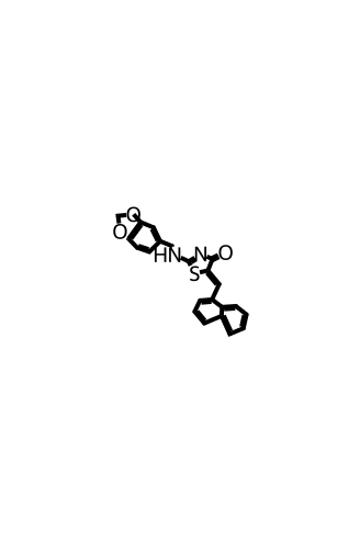 O=C1N=C(NCc2ccc3c(c2)OCO3)SC1=Cc1cccc2ccccc12